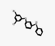 Clc1cc(Br)cc(Oc2cccc(Nc3ccccc3)c2)c1